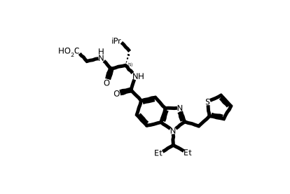 CCC(CC)n1c(Cc2cccs2)nc2cc(C(=O)N[C@@H](CC(C)C)C(=O)NCC(=O)O)ccc21